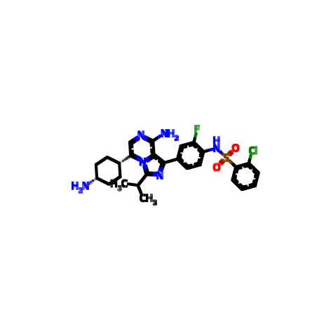 CC(C)c1nc(-c2ccc(NS(=O)(=O)c3ccccc3Cl)c(F)c2)c2c(N)ncc([C@H]3CC[C@@H](N)CC3)n12